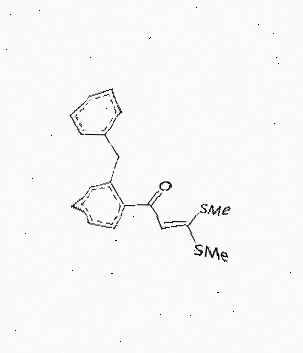 CSC(=CC(=O)c1ccccc1Cc1ccccc1)SC